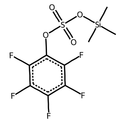 C[Si](C)(C)OS(=O)(=O)Oc1c(F)c(F)c(F)c(F)c1F